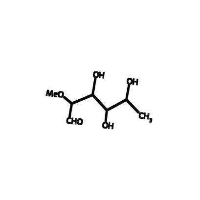 COC(C=O)C(O)C(O)C(C)O